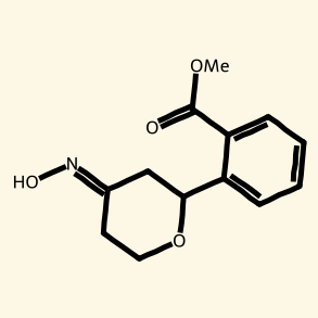 COC(=O)c1ccccc1C1C/C(=N/O)CCO1